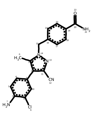 Cc1c(-c2ccc(N)c(Cl)c2)c(C#N)nn1Cc1ccc(C(N)=O)cc1